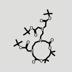 CC(C)(C)OC(=O)CN(CCN1CCN(CC(=O)OC(C)(C)C)CC(=O)OC(C)(C)CC(C)(C)OC(=O)C1)CC(=O)OC(C)(C)C